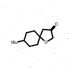 CC(C)(C)C1CCC2(CC1)CC(=O)CO2